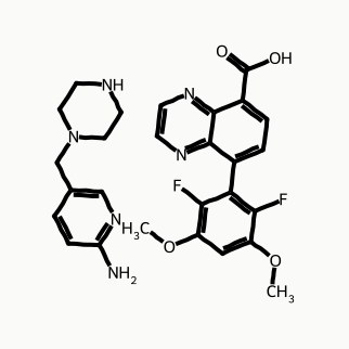 COc1cc(OC)c(F)c(-c2ccc(C(=O)O)c3nccnc23)c1F.Nc1ccc(CN2CCNCC2)cn1